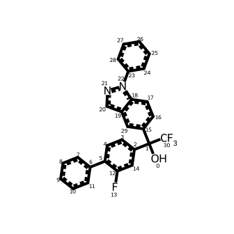 OC(c1ccc(-c2ccccc2)c(F)c1)(c1ccc2c(cnn2-c2ccccc2)c1)C(F)(F)F